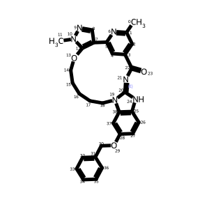 Cc1cc2cc(n1)-c1cnn(C)c1OCCCCCN1/C(=N/C2=O)Nc2ccc(OCc3ccccc3)cc21